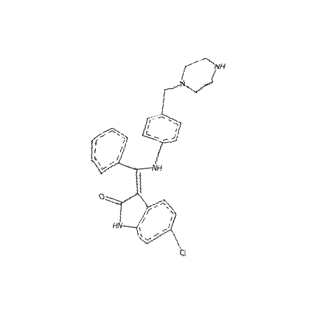 O=C1Nc2cc(Cl)ccc2C1=C(Nc1ccc(CN2CCNCC2)cc1)c1ccccc1